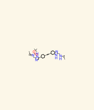 CC1CC1NCc1nc2ccc(C#Cc3ccc(-c4cnc(CN(C(=O)OC(C)(C)C)[C@@H]5CC5C)[nH]4)cc3)cc2[nH]1